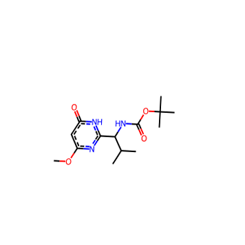 COc1cc(=O)[nH]c(C(NC(=O)OC(C)(C)C)C(C)C)n1